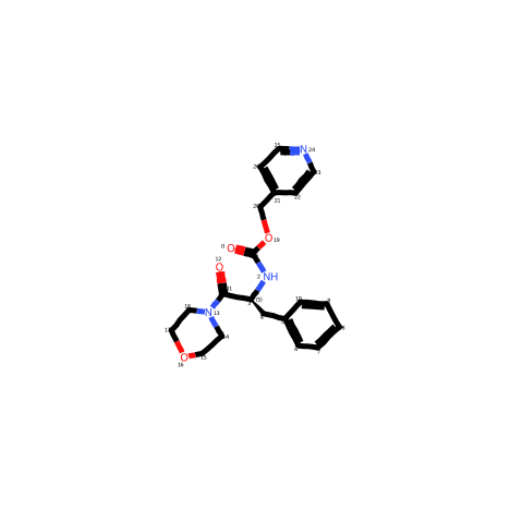 O=C(N[C@@H](Cc1ccccc1)C(=O)N1CCOCC1)OCc1ccncc1